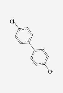 [O]c1ccc(-c2ccc(Cl)cc2)cc1